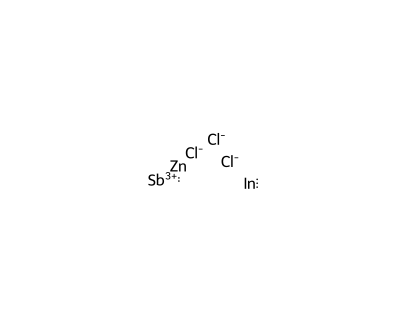 [Cl-].[Cl-].[Cl-].[In].[Sb+3].[Zn]